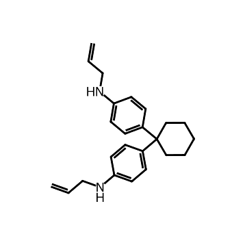 C=CCNc1ccc(C2(c3ccc(NCC=C)cc3)CCCCC2)cc1